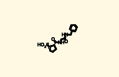 O=C(CNC(=O)[C@@H]1CCCN1C(=O)O)NCc1ccccc1